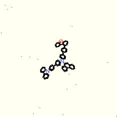 c1ccc2c(c1)cc(N(c1ccc(-c3ccc(-c4cccc5oc6ccccc6c45)cc3)cc1)c1ccc(-c3ccc(-n4c5ccccc5c5ccccc54)cc3)cc1)c1ccccc12